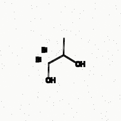 CC(O)CO.[B].[B]